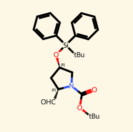 CC(C)(C)OC(=O)N1C[C@H](O[Si](c2ccccc2)(c2ccccc2)C(C)(C)C)C[C@@H]1C=O